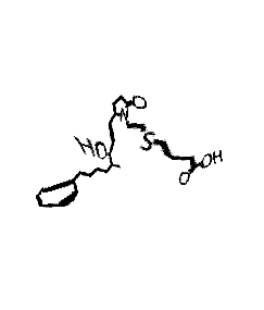 C[C@@H](CCCCc1ccccc1)[C@H](O)C=CC1CCC(=O)N1CCSCCCC(=O)O